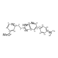 COc1ccnc(CCc2nc3cc(-c4ccc(N(C)C)cc4)cnc3[nH]2)c1